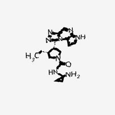 CC[C@H]1CN(C(=O)NC2(N)CC2)C[C@H]1c1nnc2cnc3[nH]ccc3n12